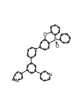 O=P1(c2ccccc2)c2ccccc2Oc2cc(-c3cccc(-c4cc(-c5cccnc5)cc(-c5cccnc5)c4)c3)ccc21